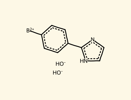 [B+2]c1ccc(-c2ncc[nH]2)cc1.[OH-].[OH-]